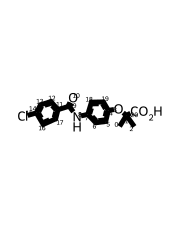 CC(C)(Oc1ccc(NC(=O)c2ccc(Cl)cc2)cc1)C(=O)O